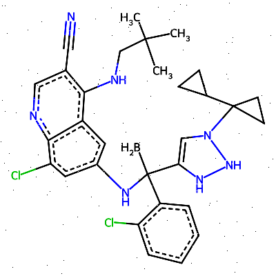 BC(Nc1cc(Cl)c2ncc(C#N)c(NCC(C)(C)C)c2c1)(C1=CN(C2(C3CC3)CC2)NN1)c1ccccc1Cl